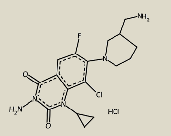 Cl.NCC1CCCN(c2c(F)cc3c(=O)n(N)c(=O)n(C4CC4)c3c2Cl)C1